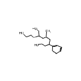 CC(CC(CO)CCCO)CC(CCO)C1=CC=CCC1